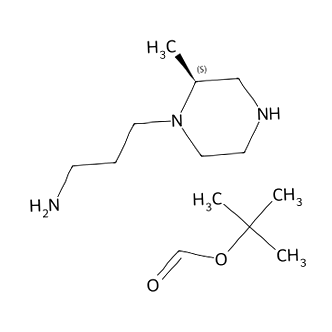 CC(C)(C)OC=O.C[C@H]1CNCCN1CCCN